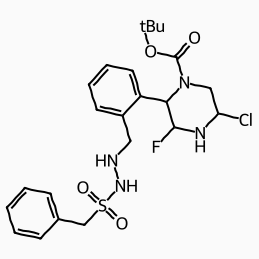 CC(C)(C)OC(=O)N1CC(Cl)NC(F)C1c1ccccc1CNNS(=O)(=O)Cc1ccccc1